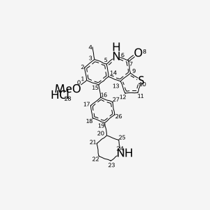 COc1cc(C)c2[nH]c(=O)c3sccc3c2c1-c1ccc(C2CCCNC2)cc1.Cl